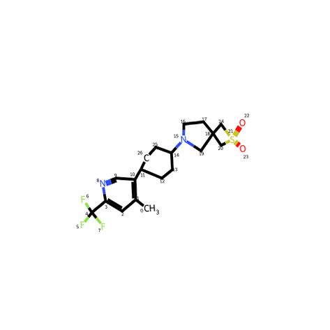 Cc1cc(C(F)(F)F)ncc1C1CCC(N2CCC3(C2)CS(=O)(=O)C3)CC1